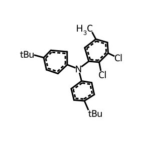 Cc1cc(Cl)c(Cl)c(N(c2ccc(C(C)(C)C)cc2)c2ccc(C(C)(C)C)cc2)c1